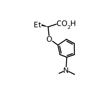 CC[C@H](Oc1cccc(N(C)C)c1)C(=O)O